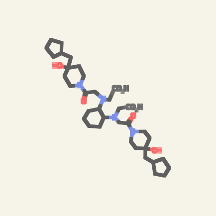 O=C(O)CN(CC(=O)N1CCC(O)(CC2CCCC2)CC1)C1CCCCC1N(CC(=O)O)CC(=O)N1CCC(O)(CC2CCCC2)CC1